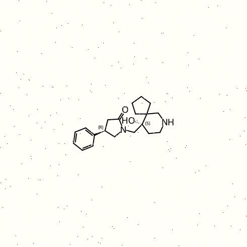 O=C1C[C@H](c2ccccc2)CN1C[C@]1(O)CCNCC12CCCC2